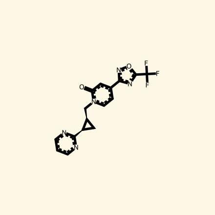 O=c1cc(-c2noc(C(F)(F)F)n2)ccn1C[C@H]1C[C@H]1c1ncccn1